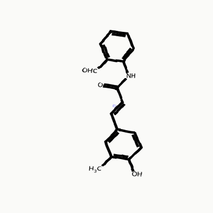 Cc1cc(/C=C/C(=O)Nc2ccccc2C=O)ccc1O